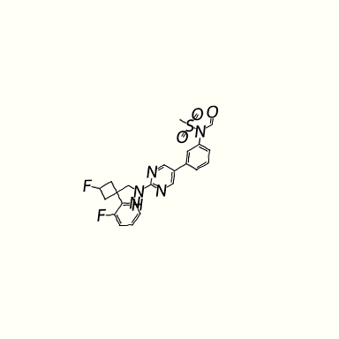 CS(=O)(=O)N(C=O)c1cccc(-c2cnc(NCC3(c4ncccc4F)CC(F)C3)nc2)c1